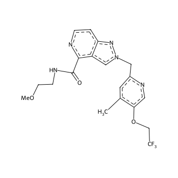 COCCNC(=O)c1nccc2nn(Cc3cc(C)c(OCC(F)(F)F)cn3)cc12